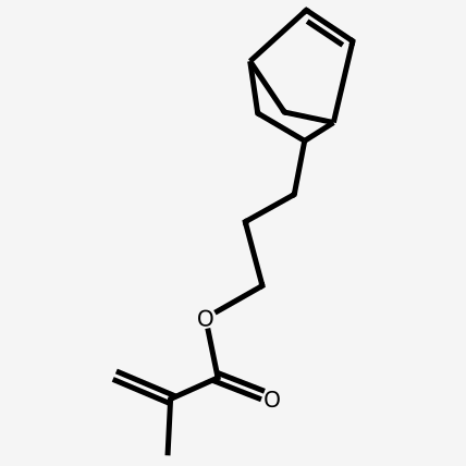 C=C(C)C(=O)OCCCC1CC2C=CC1C2